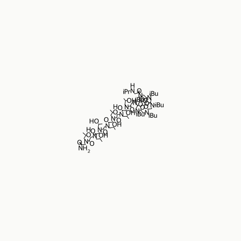 CCC(C)N(CC(=O)N(CC(=O)N(CC(=O)N(CC(=O)N(CC(=O)N(CC(=O)N(CC(=O)N(CC(N)=O)CC(C)O)CC(C)O)CC(C)O)CC(C)O)CC(C)O)CC(C)O)CC(C)O)C(=O)CN(C(=O)CN(C(=O)CN(C(=O)CN(C(=O)CN(C(=O)CNC(C)C)C(C)CC)C(C)CC)C(C)CC)C(C)CC)C(C)CC